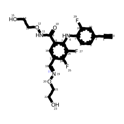 C#Cc1ccc(Nc2c(C(=O)NOCCO)cc(/C=N/OCCO)c(F)c2F)c(F)c1